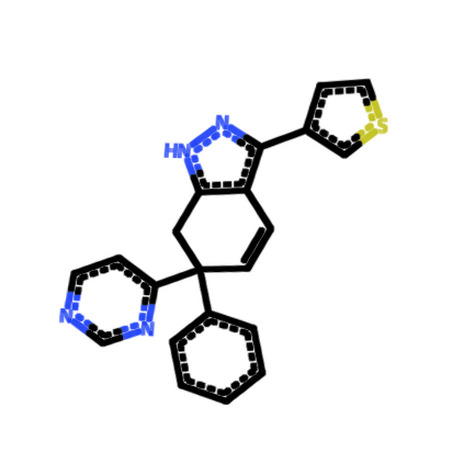 C1=CC(c2ccccc2)(c2ccncn2)Cc2[nH]nc(-c3ccsc3)c21